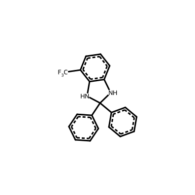 FC(F)(F)c1cccc2c1NC(c1ccccc1)(c1ccccc1)N2